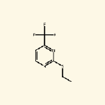 CCSc1nccc(C(F)(F)F)n1